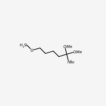 CCCCC(CCCCO[SiH3])(OC)OC